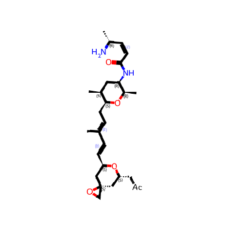 CC(=O)C[C@@H]1C[C@@]2(CO2)C[C@@H](/C=C/C(C)=C/C[C@@H]2O[C@H](C)[C@H](NC(=O)/C=C\[C@@H](C)N)C[C@@H]2C)O1